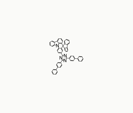 c1ccc(-c2ccc(-c3nc(-c4ccc(-c5ccccc5)cc4)nc(-c4ccc5c(c4)C4(c6ccccc6-c6ccccc64)c4cccc6c7ccccc7n-5c46)n3)cc2)cc1